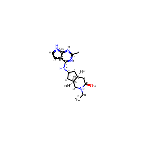 Cc1nc(N[C@H]2C[C@H]3CC(=O)N(CC#N)C[C@H]3C2)c2cc[nH]c2n1